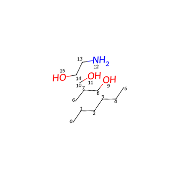 CCCCCC.CCCO.CO.NCCO